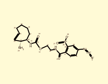 [N-]=[N+]=Nc1ccc(C(=O)NCCOC(=O)N[C@@H]2CCCC/C=C/[C@H]2N)c([N+](=O)[O-])c1